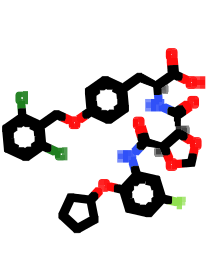 O=C(O)[C@H](Cc1ccc(OCc2c(Cl)cccc2Cl)cc1)NC(=O)[C@@H]1OCO[C@H]1C(=O)Nc1cc(F)ccc1OC1CCCC1